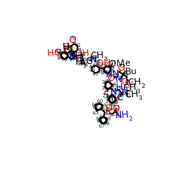 C=CCC1(C(C)CC)C(=O)NC(=O)NC1=O.CC(CN1c2ccccc2Sc2ccccc21)N(C)C.COc1cccc([C@@]2(O)CCCC[C@@H]2CN(C)C)c1.NC(=O)C[S+]([O-])C(c1ccccc1)c1ccccc1.O=C1CC[C@@]2(O)[C@H]3Cc4ccc(O)c5c4[C@@]2(CCN3CC2CC2)[C@H]1O5